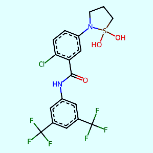 O=C(Nc1cc(C(F)(F)F)cc(C(F)(F)F)c1)c1cc(N2CCCS2(O)O)ccc1Cl